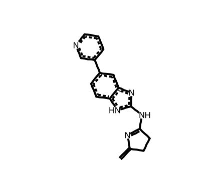 C=C1CCC(Nc2nc3cc(-c4cccnc4)ccc3[nH]2)=N1